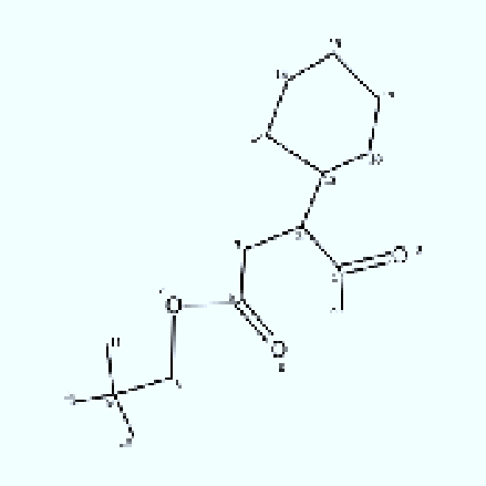 CC(=O)C(CC(=O)OCC(C)(C)C)C1CCCCC1